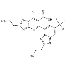 O=C(O)c1c(-c2cc(C(F)(F)F)nc3nc(CCO)nn23)nc2nc(CCS)nn2c1[S]